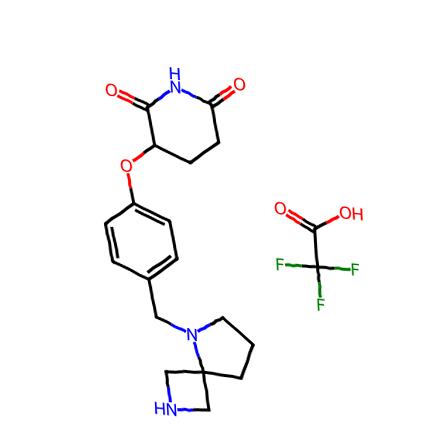 O=C(O)C(F)(F)F.O=C1CCC(Oc2ccc(CN3CCCC34CNC4)cc2)C(=O)N1